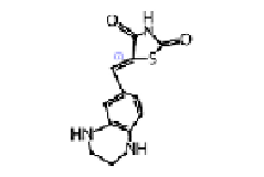 O=C1NC(=O)/C(=C/c2ccc3c(c2)NCCN3)S1